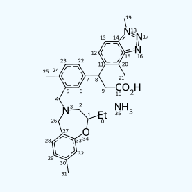 CCC1CN(Cc2cc(C(CC(=O)O)c3ccc4c(nnn4C)c3C)ccc2C)Cc2ccc(C)cc2O1.N